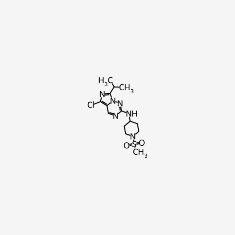 CC(C)c1nc(Cl)c2cnc(NC3CCN(S(C)(=O)=O)CC3)nn12